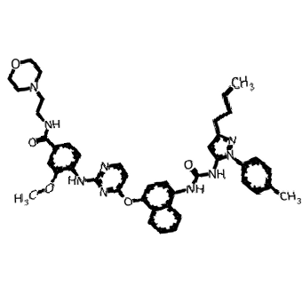 CCCCc1cc(NC(=O)Nc2ccc(Oc3ccnc(Nc4ccc(C(=O)NCCN5CCOCC5)cc4OC)n3)c3ccccc23)n(-c2ccc(C)cc2)n1